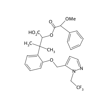 COC(C(=O)OC(C(=O)O)C(C)(C)c1ccccc1OCc1ccnn1CC(F)(F)F)c1ccccc1